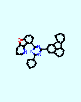 c1ccc(-c2nc(-c3cc4c5c(cccc5c3)-c3ccccc3-4)nc(-c3cccc4oc5cccnc5c34)n2)cc1